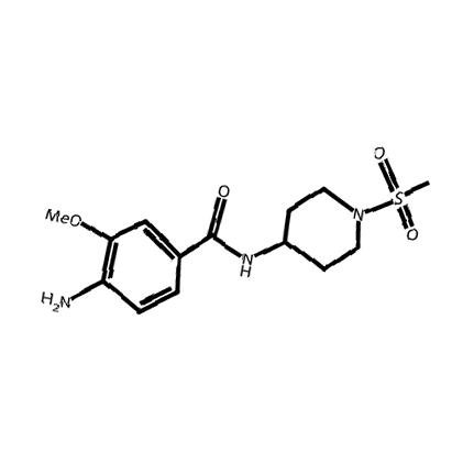 COc1cc(C(=O)NC2CCN(S(C)(=O)=O)CC2)ccc1N